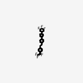 FC(F)=C(F)c1ccc(CCc2ccc(-c3ccc(-c4cc(F)c(F)c(F)c4)cc3)cc2)cc1